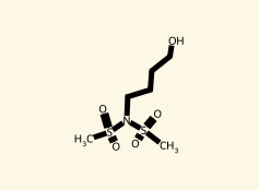 CS(=O)(=O)N(CCCCO)S(C)(=O)=O